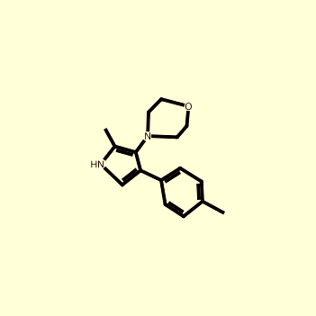 Cc1ccc(-c2c[nH]c(C)c2N2CCOCC2)cc1